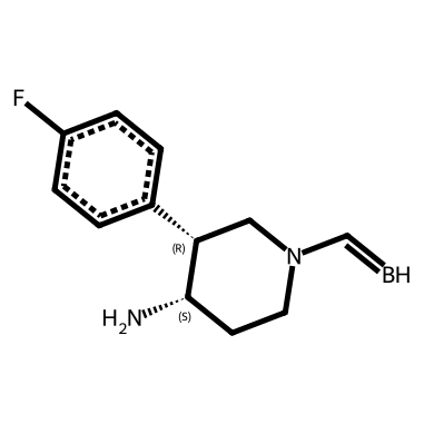 B=CN1CC[C@H](N)[C@H](c2ccc(F)cc2)C1